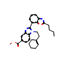 CCCCc1nc2cccc(-c3nc4cc(C(=O)OC)ccc4n3CCC3=CCCCC3)c2o1